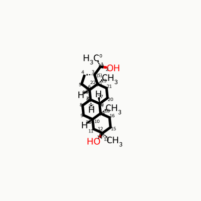 C[C@H](O)[C@H]1CC[C@H]2[C@@H]3CC[C@H]4C[C@](C)(O)CC[C@]4(C)[C@H]3CC[C@]12C